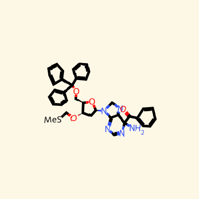 CSCO[C@H]1C[C@H](N2CN=C3C2=NC=NC3(N)C(=O)c2ccccc2)O[C@@H]1COC(c1ccccc1)(c1ccccc1)c1ccccc1